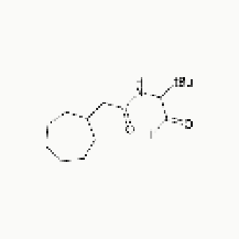 CC(C)(C)C(NC(=O)CC1CCCCCC1)C(=O)I